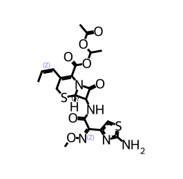 C/C=C\C1=C(C(=O)OC(C)OC(C)=O)N2C(=O)C(NC(=O)/C(=N\OC)c3csc(N)n3)[C@@H]2SC1